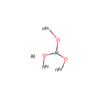 CCC[O][Al]([O]CCC)[O]CCC.[Al]